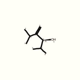 C=C(C(C)C)[C@@H](O)C(C)C